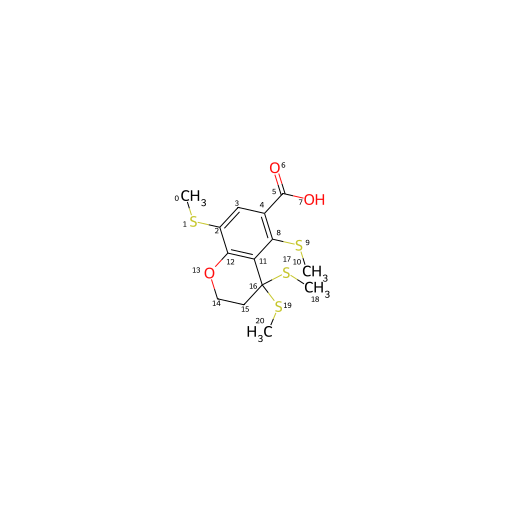 CSc1cc(C(=O)O)c(SC)c2c1OCCC2(SC)SC